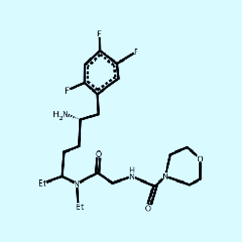 CCC(CC[C@H](N)Cc1cc(F)c(F)cc1F)N(CC)C(=O)CNC(=O)N1CCOCC1